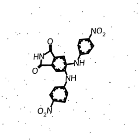 O=C1NC(=O)c2cc(Nc3ccc([N+](=O)[O-])cc3)c(Nc3ccc([N+](=O)[O-])cc3)cc21